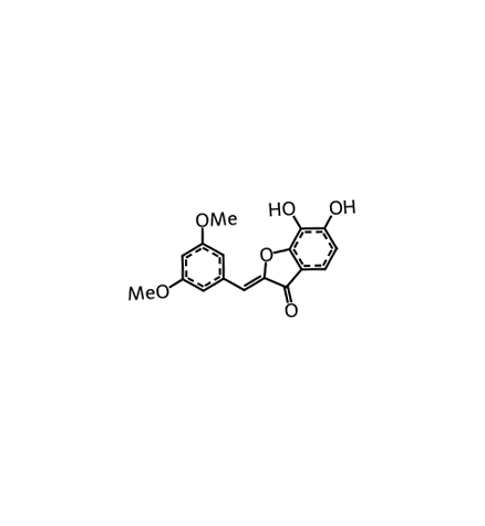 COc1cc(/C=C2\Oc3c(ccc(O)c3O)C2=O)cc(OC)c1